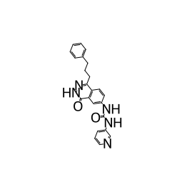 O=C(Nc1cccnc1)Nc1ccc2c(CCCc3ccccc3)n[nH]c(=O)c2c1